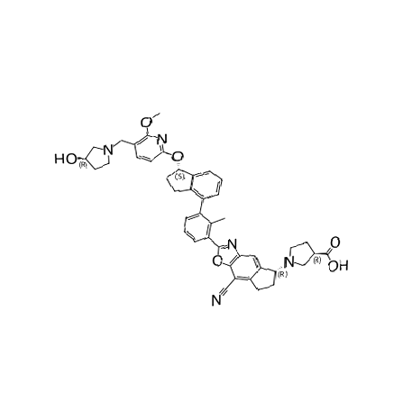 COc1nc(O[C@H]2CCc3c(-c4cccc(-c5nc6cc7c(c(C#N)c6o5)CC[C@H]7N5CC[C@@H](C(=O)O)C5)c4C)cccc32)ccc1CN1CC[C@@H](O)C1